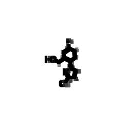 OCc1cc(F)ccc1-n1[c]cc(Cl)n1